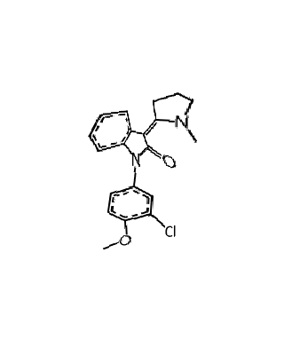 COc1ccc(N2C(=O)C(=C3CCCN3C)c3ccccc32)cc1Cl